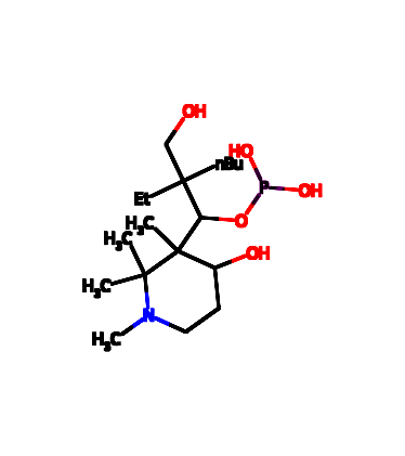 CCCCC(CC)(CO)C(OP(O)O)C1(C)C(O)CCN(C)C1(C)C